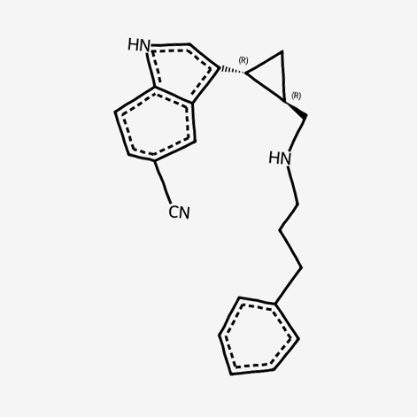 N#Cc1ccc2[nH]cc([C@@H]3C[C@H]3CNCCCc3ccccc3)c2c1